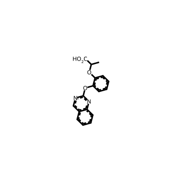 CC(Oc1ccccc1Oc1ncc2ccccc2n1)C(=O)O